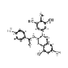 O=C(OC1Cc2c(O)cc(O)cc2OC1c1cc(O)c(O)c(O)c1)c1ccc(O)cc1